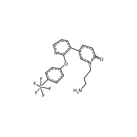 NCCCn1cc(-c2cccnc2Oc2ccc(S(F)(F)(F)(F)F)cc2)ccc1=O